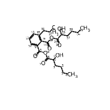 CCCCC(O)C(=O)OC(=O)c1cccc(CCC)c1C(=O)OC(=O)C(O)CCCC